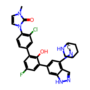 Cn1ccn(-c2ccc(-c3cc(F)cc(-c4cc(N5CC6CCC5CN6)c5cn[nH]c5c4)c3O)cc2Cl)c1=O